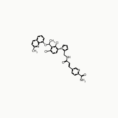 Cc1ccc2cccc(OC(C)c3c(Cl)ccc(-n4cccc4CNC(=O)C=Cc4ccc(C(N)=O)nc4)c3Cl)c2n1